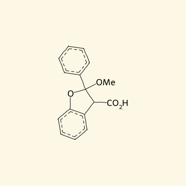 COC1(c2ccccc2)Oc2ccccc2C1C(=O)O